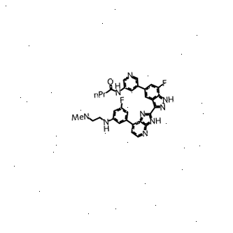 CCCC(=O)Nc1cncc(-c2cc(F)c3[nH]nc(-c4nc5c(-c6cc(F)cc(NCCNC)c6)ccnc5[nH]4)c3c2)c1